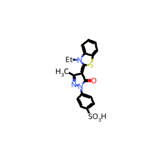 CCN1C(=C2C(=O)N(c3ccc(S(=O)(=O)O)cc3)N=C2C)Sc2ccccc21